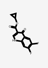 O=C(OC1CC1)c1c[nH]c2cc(F)c(F)cc2c1=O